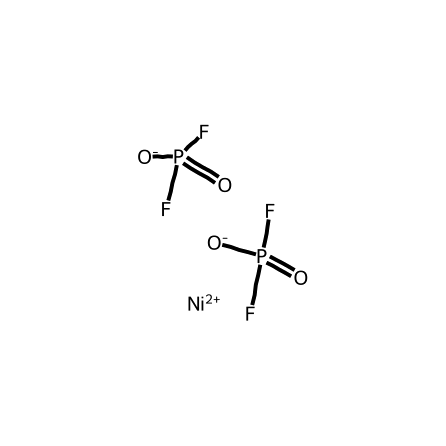 O=P([O-])(F)F.O=P([O-])(F)F.[Ni+2]